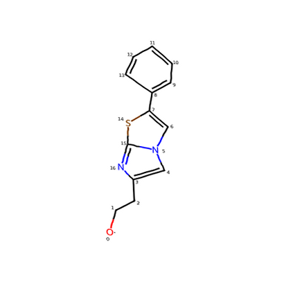 [O]CCc1cn2cc(-c3ccccc3)sc2n1